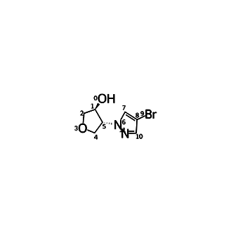 O[C@@H]1COC[C@H]1n1cc(Br)cn1